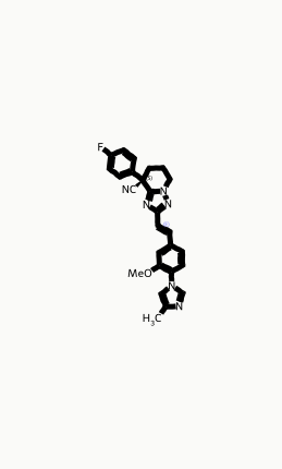 COc1cc(/C=C/c2nc3n(n2)CCC[C@@]3(C#N)c2ccc(F)cc2)ccc1-n1cnc(C)c1